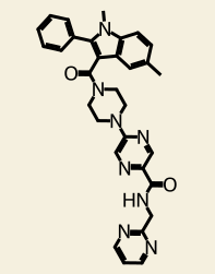 Cc1ccc2c(c1)c(C(=O)N1CCN(c3cnc(C(=O)NCc4ncccn4)cn3)CC1)c(-c1ccccc1)n2C